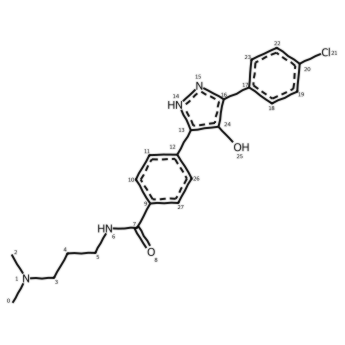 CN(C)CCCNC(=O)c1ccc(-c2[nH]nc(-c3ccc(Cl)cc3)c2O)cc1